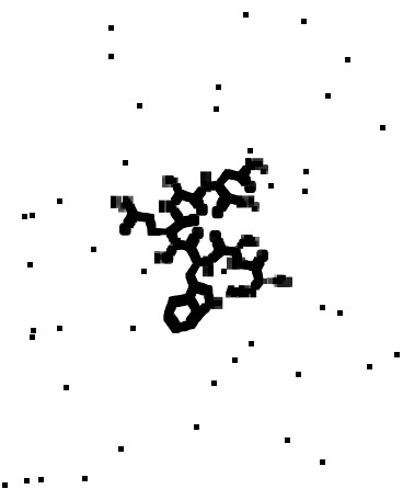 CCC(C)[C@H](NC(C)=O)C(=O)N[C@H](C(=O)N[C@@H](Cc1c[nH]c2ccccc12)C(=O)N(O)[C@@H](CCC(N)=O)C(=O)N[C@H](C(=O)N[C@@H](CC(N)=O)C(N)=O)C(C)C)C(C)CC